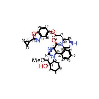 COC[C@]1(O)CCCCC1N1C=NC(C(=O)N2CCNC[C@H]2CCOc2ccc3oc(C4CC4)nc3c2)C1c1ccccc1